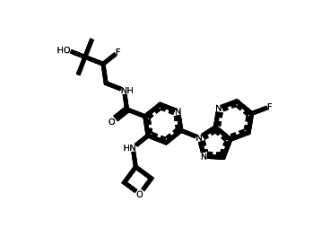 CC(C)(O)C(F)CNC(=O)c1cnc(-n2ncc3cc(F)cnc32)cc1NC1COC1